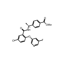 COC(=O)c1ccc([C@H](C)NC(=O)c2cc(Cl)ccc2Oc2cncc(F)c2)cc1